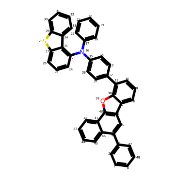 c1ccc(-c2cc3c4cccc(-c5ccc(N(c6ccccc6)c6cccc7sc8ccccc8c67)cc5)c4oc3c3ccccc23)cc1